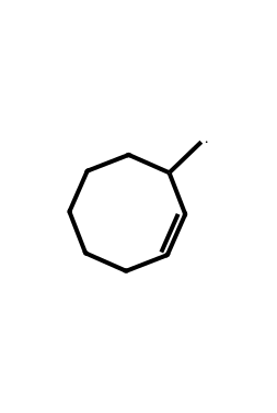 [CH2]C1/C=C\CCCCC1